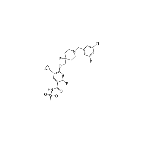 CS(=O)(=O)NC(=O)c1cc(C2CC2)c(OCC2(F)CCN(Cc3cc(F)cc(Cl)c3)CC2)cc1F